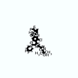 CC(C)(O)c1nnc(-c2nc(C(=O)N3CCC(F)(F)CC3)c(-c3ccc(S(=O)(=O)NC4(C(F)F)CC4)c(F)c3Cl)s2)o1